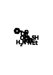 CCC1=NOC(CN(C(=O)CN)C(=O)OCc2ccccc2)C1S